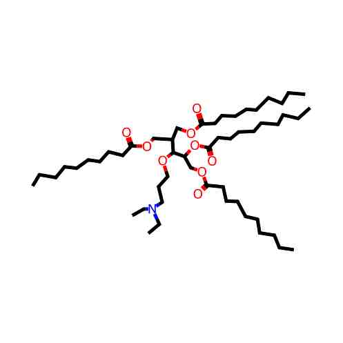 CCCCCCCCCC(=O)OCC(COC(=O)CCCCCCCCC)C(OCCCN(CC)CC)C(COC(=O)CCCCCCCCC)OC(=O)CCCCCCCCC